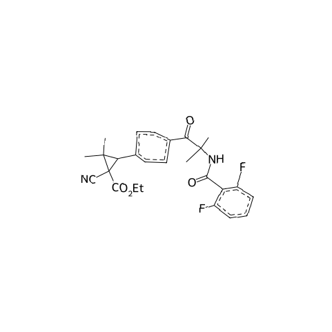 CCOC(=O)C1(C#N)C(c2ccc(C(=O)C(C)(C)NC(=O)c3c(F)cccc3F)cc2)C1(C)C